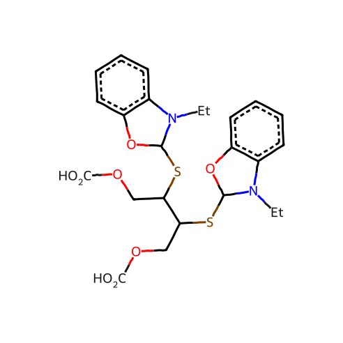 CCN1c2ccccc2OC1SC(COC(=O)O)C(COC(=O)O)SC1Oc2ccccc2N1CC